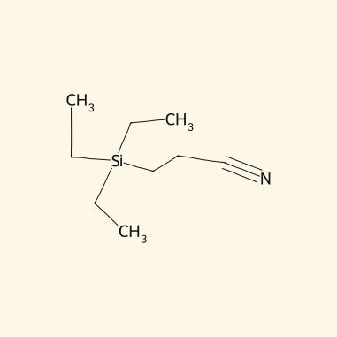 CC[Si](CC)(CC)CCC#N